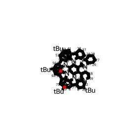 CC(C)(C)c1ccc2c(c1)c1ccccc1n2-c1c(-c2cccnc2)c(-c2nc3ccccc3s2)c(-n2c3ccccc3c3cc(C(C)(C)C)ccc32)c(-n2c3ccccc3c3cc(C(C)(C)C)ccc32)c1-n1c2ccccc2c2cc(C(C)(C)C)ccc21